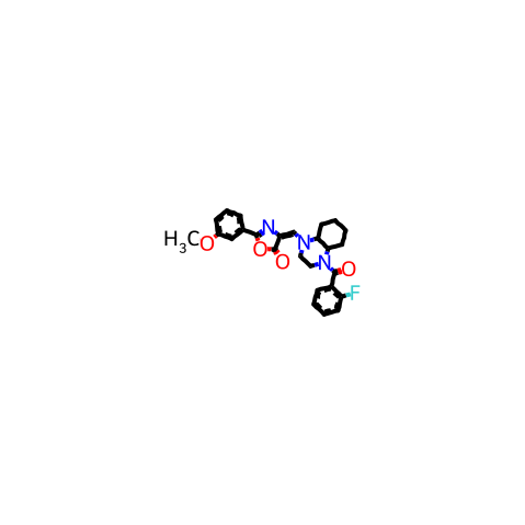 COc1cccc(C2=NC(=CN3CCN(C(=O)c4ccccc4F)C4CCCCC43)C(=O)O2)c1